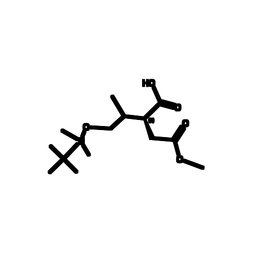 COC(=O)C[C@H](C(=O)O)C(C)CO[Si](C)(C)C(C)(C)C